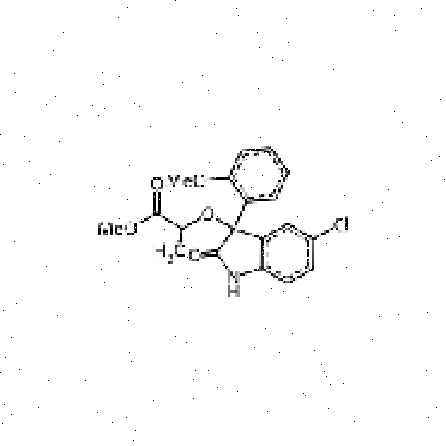 COC(=O)[C@H](C)OC1(c2ccccc2OC)C(=O)Nc2ccc(Cl)cc21